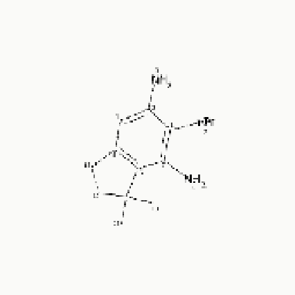 CCCc1c(N)cc2c(c1N)C(C)(C)CC2